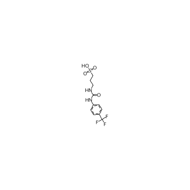 O=C(NCCCS(=O)(=O)O)Nc1ccc(C(F)(F)F)cc1